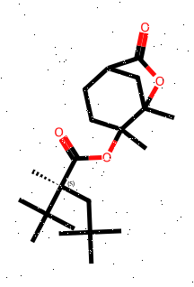 CC(C)(C)C[C@](C)(C(=O)OC1(C)CCC2CC1(C)OC2=O)C(C)(C)C